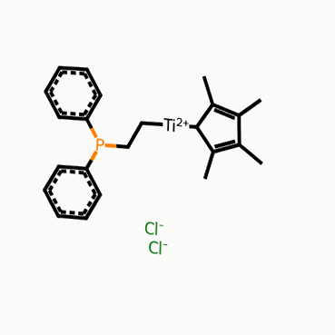 CC1=C(C)[CH]([Ti+2][CH2]CP(c2ccccc2)c2ccccc2)C(C)=C1C.[Cl-].[Cl-]